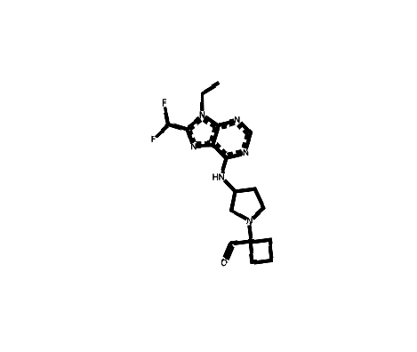 CCn1c(C(F)F)nc2c(NC3CCN(C4(C=O)CCC4)C3)ncnc21